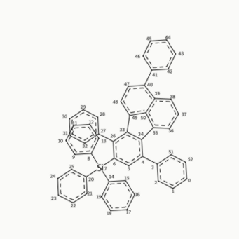 c1ccc(-c2cc([Si](c3ccccc3)(c3ccccc3)c3ccccc3)c(-c3ccccc3)c3c2-c2cccc4c(-c5ccccc5)ccc-3c24)cc1